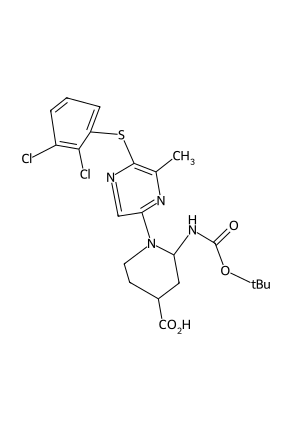 Cc1nc(N2CCC(C(=O)O)CC2NC(=O)OC(C)(C)C)cnc1Sc1cccc(Cl)c1Cl